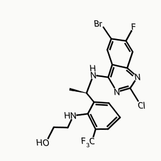 C[C@@H](Nc1nc(Cl)nc2cc(F)c(Br)cc12)c1cccc(C(F)(F)F)c1NCCO